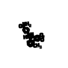 Cc1cccc(-c2[nH]c(C3CCC(C(N)=O)CC3)nc2-c2ccc3c(c2)OCO3)n1